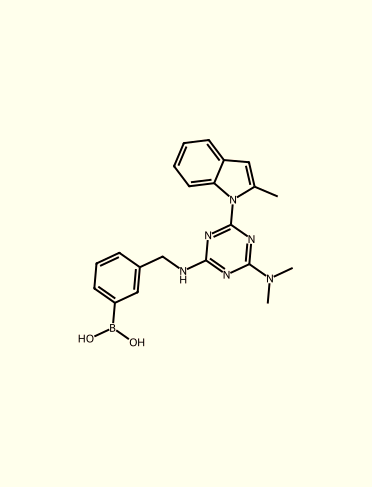 Cc1cc2ccccc2n1-c1nc(NCc2cccc(B(O)O)c2)nc(N(C)C)n1